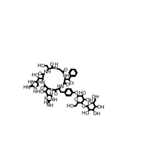 CCC(c1ccccc1)C1NC(=O)CNC(=O)C(CO)NC(=O)C(C(O)C2CNC(=N)N2)NC(=O)C(C(O)C2CNC(=N)N2)NC(=O)C(Cc2ccc(OC3OC(CO)C(OC4OC(CO)C(O)C(O)C4O)C(O)C3O)cc2)NC1=O